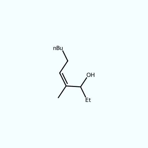 CCCCCC=C(C)C(O)CC